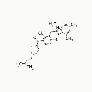 C=C(C)CCC1CCN(C(=O)c2ccc(Cl)c(Cc3cc4c(C)cc(C(F)(F)F)cc4n3C)c2Cl)CC1